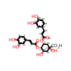 O=C(/C=C/c1ccc(O)c(O)c1)O[C@H]1[C@H](O)CC(O)(C(=O)O)C[C@H]1OC(=O)/C=C/c1ccc(O)c(O)c1